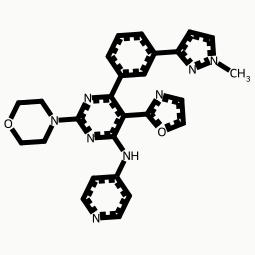 Cn1ccc(-c2cccc(-c3nc(N4CCOCC4)nc(Nc4ccncc4)c3-c3ncco3)c2)n1